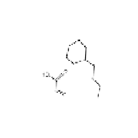 C=CC(=O)O.CCCCC1CCCCC1